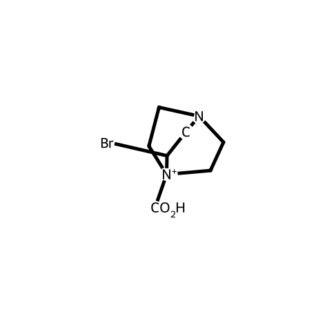 O=C(O)[N+]12CCN(CC1)CC2Br